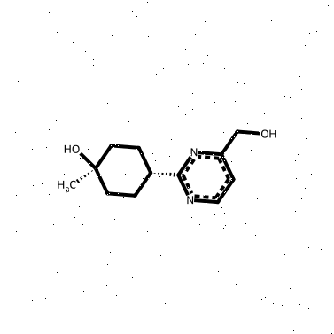 C[C@]1(O)CC[C@H](c2nccc(CO)n2)CC1